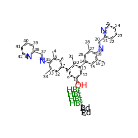 Br.Br.Br.Br.Cc1cc(-c2cc(O)cc(-c3cc(C)c(N=Cc4ccccn4)c(C)c3)c2C)cc(C)c1N=Cc1ccccn1.[Pd].[Pd]